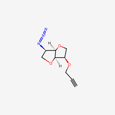 C#CCO[C@@H]1CO[C@H]2[C@@H]1OC[C@H]2N=[N+]=[N-]